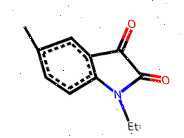 C[C]N1C(=O)C(=O)c2cc(C)ccc21